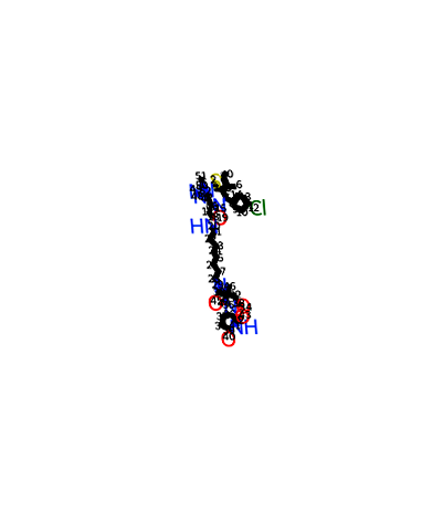 Cc1sc2c(c1C)C(c1ccc(Cl)cc1)=N[C@@H](CC(=O)NCCCCCCCCN1CC3(CC(=O)N(C4CCC(=O)NC4=O)C3=O)C1)c1nnc(C)n1-2